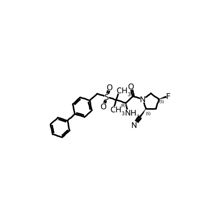 CC(C)([C@H](N)C(=O)N1C[C@@H](F)C[C@H]1C#N)S(=O)(=O)Cc1ccc(-c2ccccc2)cc1